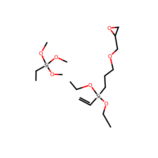 C=C[Si](CCCOCC1CO1)(OCC)OCC.CC[Si](OC)(OC)OC